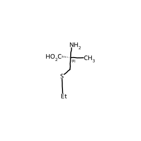 CCSC[C@](C)(N)C(=O)O